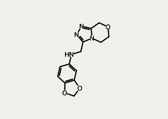 c1cc2c(cc1NCc1nnc3n1CCOC3)OCO2